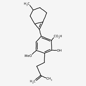 C=C(C)CCc1c(OC)cc(C2=C3CCC(C)CC32)c(C(=O)O)c1O